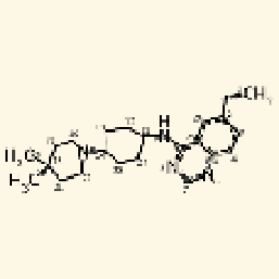 C=Cc1ccc2ncnc(NC3CCC(N4CCC(C)(C)CC4)CC3)c2c1